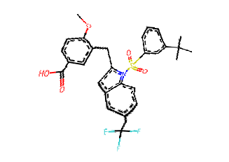 COc1ccc(C(=O)O)cc1Cc1cc2cc(C(F)(F)F)ccc2n1S(=O)(=O)c1cccc(C(C)(C)C)c1